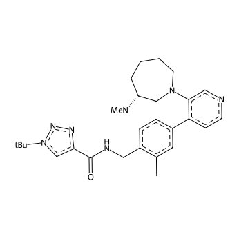 CN[C@@H]1CCCCN(c2cnccc2-c2ccc(CNC(=O)c3cn(C(C)(C)C)nn3)c(C)c2)C1